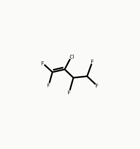 FC(F)=C(Cl)C(F)C(F)F